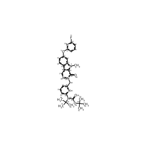 Cn1c2cc(Oc3cccc(F)n3)ccc2c2cnn(Cc3cccc(N(C(=O)OC(C)(C)C)C(C)(C)C)n3)c(=O)c21